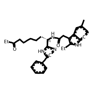 CCC(=O)CCCCC[C@H](NC(=O)Cc1c(CC)[nH]c2ccc(C)cc12)c1ncc(-c2ccccc2)[nH]1